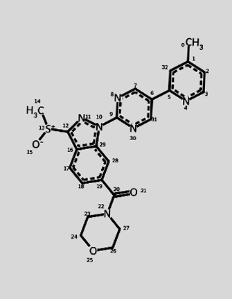 Cc1ccnc(-c2cnc(-n3nc([S+](C)[O-])c4ccc(C(=O)N5CCOCC5)cc43)nc2)c1